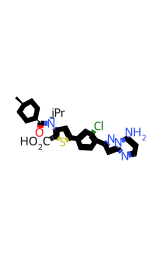 CC(C)N(c1cc(-c2ccc(-c3cc4nccc(N)n4n3)c(Cl)c2)sc1C(=O)O)C(=O)[C@H]1CC[C@H](C)CC1